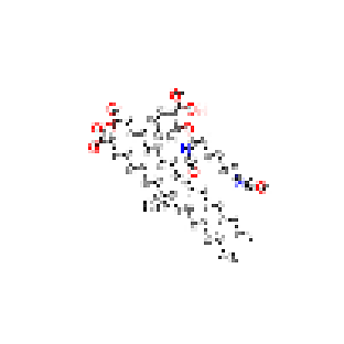 CCCCCCCCCCCCCCCCCC(=O)[O-].CCCCCCCCCCCCCCCCCC(=O)[O-].O=C=NCCCCCC(N=C=O)Oc1ccccc1C(=O)O.[Cu+2]